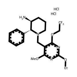 CCOc1nc(OC)c(CN2CCC[C@H](N)[C@H]2c2ccccc2)c(OCC(F)(F)F)n1.Cl.Cl